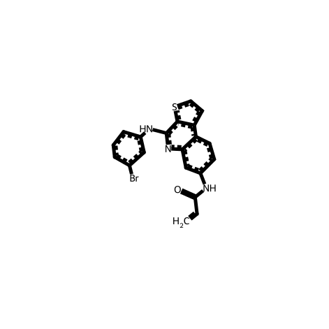 C=CC(=O)Nc1ccc2c(c1)nc(Nc1cccc(Br)c1)c1sccc12